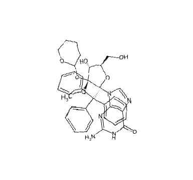 CO[C@@]1(OC2CCCCO2)[C@H](O)[C@@H](CO)O[C@]1(n1cnc2c(=O)[nH]c(N)nc21)C(c1ccccc1)(c1ccccc1)c1ccccc1